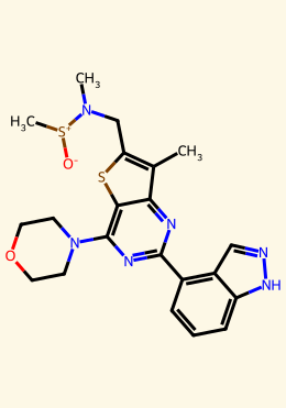 Cc1c(CN(C)[S+](C)[O-])sc2c(N3CCOCC3)nc(-c3cccc4[nH]ncc34)nc12